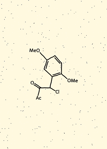 COc1ccc(OC)c(C(Cl)C(=O)C(C)=O)c1